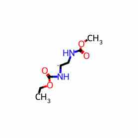 CCOC(=O)N[CH]CNC(=O)OC